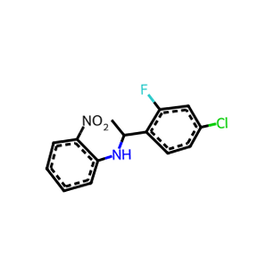 CC(Nc1ccccc1[N+](=O)[O-])c1ccc(Cl)cc1F